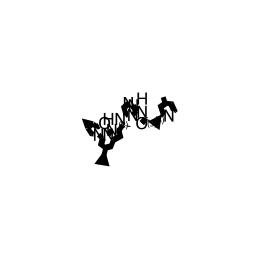 Cc1ccnc([C@H]2C[C@@H]2C(=O)Nc2nncc(N[C@H](C)c3cc4cc(C5CC5)cc(N5CC6CC6C5=O)n4n3)n2)c1